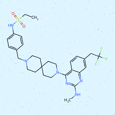 CCS(=O)(=O)Nc1ccc(CN2CCC3(CC2)CCN(c2nc(NC)nc4cc(CC(F)(F)F)ccc24)CC3)cc1